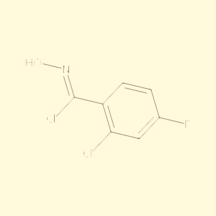 O/N=C(\Cl)c1ccc(F)cc1Cl